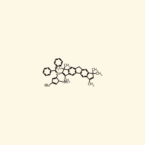 CCCCC1C=C(C(C)(C)C)C=[C]1[Zn]([C]1=C(C)c2cc3c(cc2C1(C)C)Cc1cc2c(cc1-3)C(C)=CC2(C)C)=[C](c1ccccc1)c1ccccc1